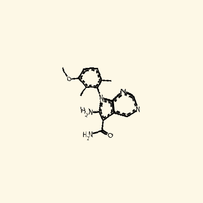 COc1ccc(C)c(-n2c(N)c(C(N)=O)c3cncnc32)c1C